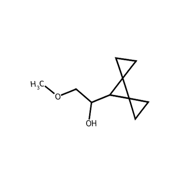 COCC(O)C1C2(CC2)C12CC2